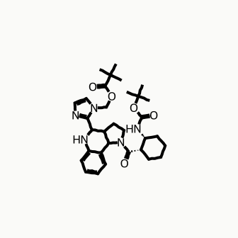 CC(C)(C)OC(=O)N[C@@H]1CCCC[C@@H]1C(=O)N1CCC2C(c3nccn3COC(=O)C(C)(C)C)Nc3ccccc3C21